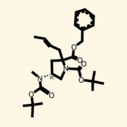 CC=CCC1(C(=O)OCc2ccccc2)C[C@@H](N(C)C(=O)OC(C)(C)C)CN1C(=O)OC(C)(C)C